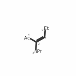 CCC=C(CCC)C(C)=O